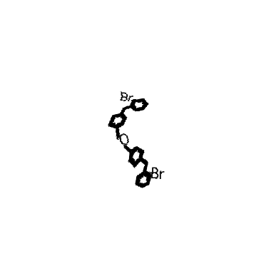 Brc1ccccc1Cc1ccc(COCc2ccc(Cc3ccccc3Br)cc2)cc1